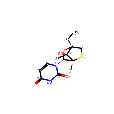 CC[C@@]12CS[C@@H]([C@H](n3ccc(=O)[nH]c3=O)O1)[C@@H]2O